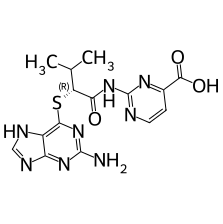 CC(C)[C@@H](Sc1nc(N)nc2nc[nH]c12)C(=O)Nc1nccc(C(=O)O)n1